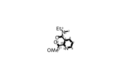 CCN(C)C(=O)c1cccnc1C(=O)OC